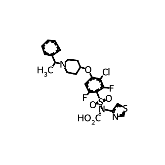 CC(c1ccccc1)N1CCC(Oc2cc(F)c(S(=O)(=O)N(C(=O)O)c3cscn3)c(F)c2Cl)CC1